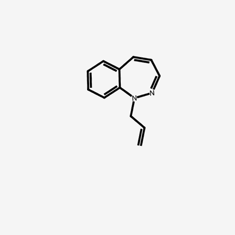 C=CCN1N=CC=Cc2ccccc21